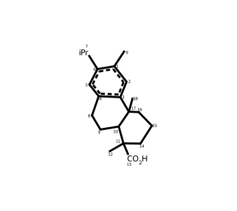 Cc1cc2c(cc1C(C)C)CCC1C(C)(C(=O)O)CCCC21C